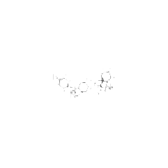 OC(CF)(c1ccc2c(cnn2-c2ccc(F)cc2)c1)c1n[nH]c2ccccc12